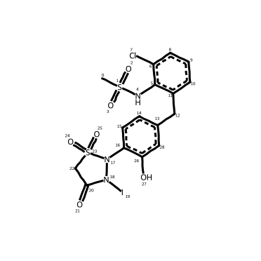 CS(=O)(=O)Nc1c(Cl)cccc1Cc1ccc(N2N(I)C(=O)CS2(=O)=O)c(O)c1